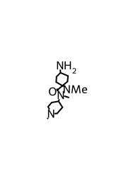 CNC1(C(=O)N(C)C2CCN(C)CC2)CCC(N)CC1